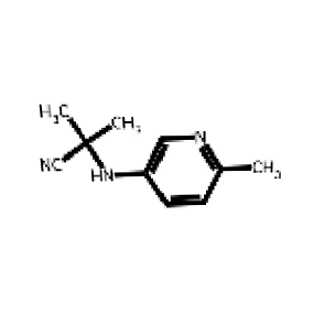 Cc1ccc(NC(C)(C)C#N)cn1